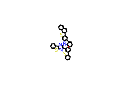 c1ccc2c(c1)ccc1c3cc4c5ccccc5n(-c5nc6c(nc5-c5cccc7c5sc5ccccc57)sc5ccccc56)c4cc3sc21